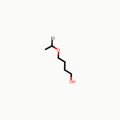 CCC(C)OCCCCO